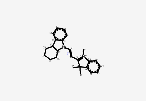 C[N+]1=C(/C=C/N2c3ccccc3C3CCCCC32)C(C)(C)c2ccccc21